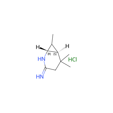 CC1[C@H]2NC(=N)CC(C)(C)[C@H]12.Cl